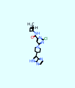 C[C@@H]1C2CC1(NC(=O)c1cc(N3CCC(c4c[nH]c5nccnc45)CC3)nc(Cl)n1)C2